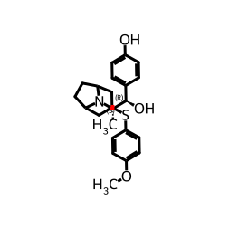 COc1ccc(SC2CC3CCC(C2)N3[C@@H](C)[C@H](O)c2ccc(O)cc2)cc1